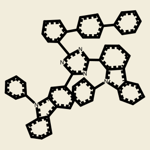 c1ccc(-c2ccc(-c3ccccc3-c3nc(-c4ccc5c6ccccc6n(-c6ccccc6)c5c4)nc(-c4cccc5c6ccccc6n(-c6ccccc6)c45)n3)cc2)cc1